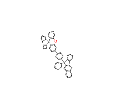 c1ccc(C2(c3ccc(-c4ccc5c(c4)Oc4ccccc4C54c5ccccc5-c5ccccc54)cc3)c3ccccc3-c3cc4ccccc4cc32)cc1